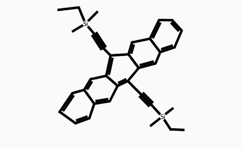 CC[Si](C)(C)C#Cc1c2cc3ccccc3cc2c(C#C[Si](C)(C)CC)c2cc3ccccc3cc12